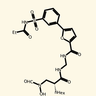 CCCCCC[C@H](CN(O)C=O)C(=O)NCNC(=O)c1ccc(-c2cccc(S(=O)(=O)NC(=O)CC)c2)o1